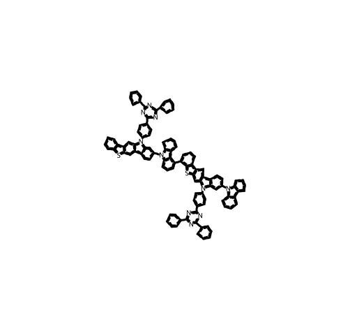 c1ccc(-c2nc(-c3ccccc3)nc(-c3ccc(-n4c5cc(-n6c7ccccc7c7ccccc76)ccc5c5cc6c(cc54)sc4c(-c5cccc7c5c5ccccc5n7-c5ccc7c8cc9sc%10ccccc%10c9cc8n(-c8ccc(-c9nc(-c%10ccccc%10)nc(-c%10ccccc%10)n9)cc8)c7c5)cccc46)cc3)n2)cc1